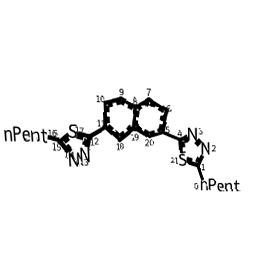 CCCCCc1nnc(-c2ccc3ccc(-c4nnc(CCCCC)s4)cc3c2)s1